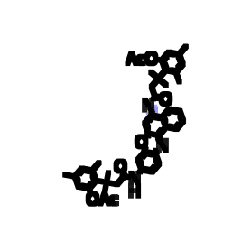 CC(=O)Oc1cc(C)cc(C)c1C(C)(C)CC(=O)/N=c1/cc2oc3cc(NC(=O)CC(C)(C)c4c(C)cc(C)cc4OC(C)=O)ccc3nc-2c2ccccc12